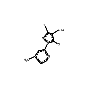 CCc1nn(-c2cc(C)ccn2)c(Cl)c1C=O